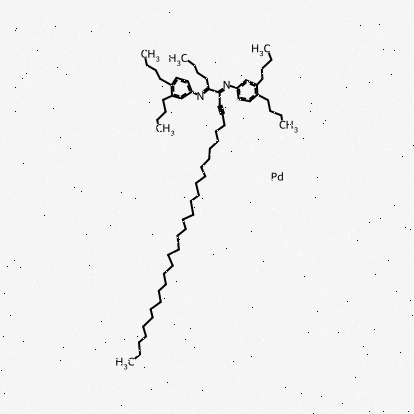 CCCCCCCCCCCCCCCCCCCCCCCCCCCCC#CC(=N\c1ccc(CCCC)c(CCCC)c1)/C(CCCC)=N/c1ccc(CCCC)c(CCCC)c1.[Pd]